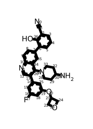 N#Cc1cccc(-c2ccc3ncc(-c4cc(F)cc(OC5COC5)c4)c(N4CCC(N)CC4)c3c2)c1O